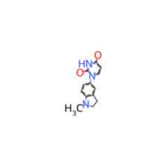 CN1CCc2cc(-n3ccc(=O)[nH]c3=O)ccc21